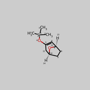 C[Si](C)(C)OC1=C[C@H]2CC[C@@H](C1)O2